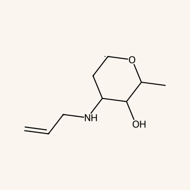 C=CCNC1C[CH]OC(C)C1O